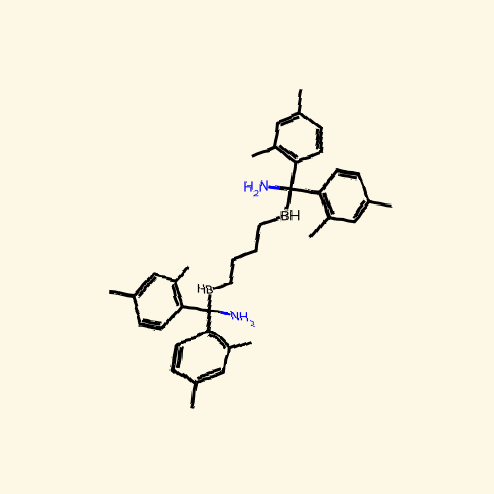 Cc1ccc(C(N)(BCCCCBC(N)(c2ccc(C)cc2C)c2ccc(C)cc2C)c2ccc(C)cc2C)c(C)c1